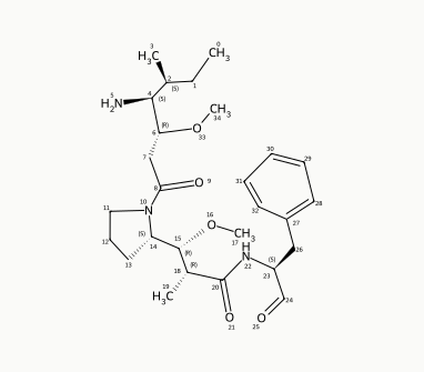 CC[C@H](C)[C@H](N)[C@@H](CC(=O)N1CCC[C@H]1[C@H](OC)[C@@H](C)C(=O)N[C@H](C=O)Cc1ccccc1)OC